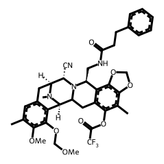 COCOc1c(OC)c(C)cc2c1[C@@H]1C3Cc4c(OC(=O)C(F)(F)F)c(C)c5c(c4[C@H](CNC(=O)CCc4ccccc4)N3[C@@H](C#N)[C@H](C2)N1C)OCO5